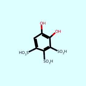 O=S(=O)(O)c1cc(O)c(O)c(S(=O)(=O)O)c1S(=O)(=O)O